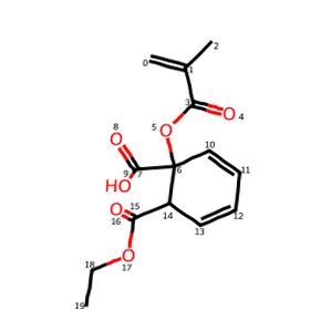 C=C(C)C(=O)OC1(C(=O)O)C=CC=CC1C(=O)OCC